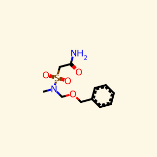 CN(COCc1ccccc1)S(=O)(=O)CC(N)=O